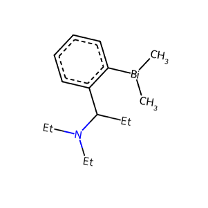 CCC(c1cccc[c]1[Bi]([CH3])[CH3])N(CC)CC